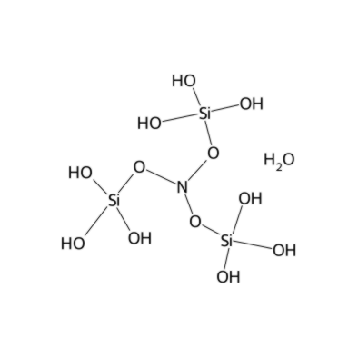 O.O[Si](O)(O)ON(O[Si](O)(O)O)O[Si](O)(O)O